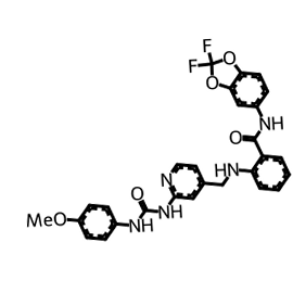 COc1ccc(NC(=O)Nc2cc(CNc3ccccc3C(=O)Nc3ccc4c(c3)OC(F)(F)O4)ccn2)cc1